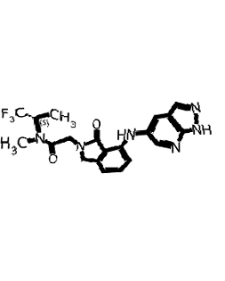 C[C@H](N(C)C(=O)CN1Cc2cccc(Nc3cnc4[nH]ncc4c3)c2C1=O)C(F)(F)F